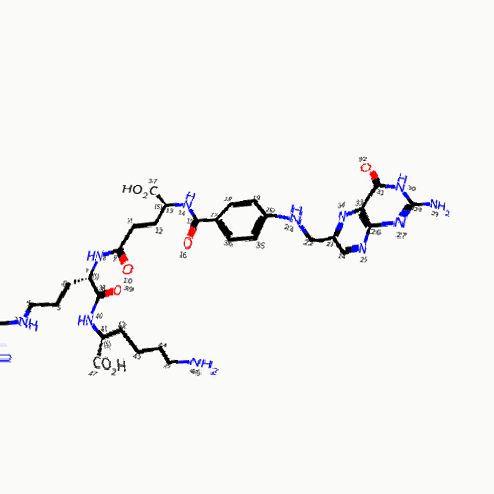 N=C(N)NCCC[C@H](NC(=O)CC[C@H](NC(=O)c1ccc(NCc2cnc3nc(N)[nH]c(=O)c3n2)cc1)C(=O)O)C(=O)N[C@@H](CCCCN)C(=O)O